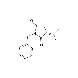 CC(C)=C1CC(=O)N(Cc2ccccc2)C1=O